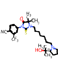 CC(C)(O)[C@@H]1CCCN1CCCCCCCN1C(=S)N(c2ccc(C#N)c(C(F)(F)F)c2)C(=O)C1(C)C